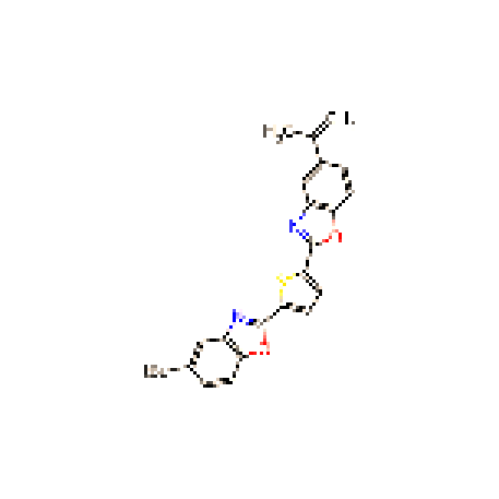 C=C(C)c1ccc2oc(-c3ccc(-c4nc5cc(C(C)(C)C)ccc5o4)s3)nc2c1